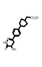 CCOC(=O)CC1CCC(c2ccc(C3=NNC(=O)C(O)C3)cc2)CC1